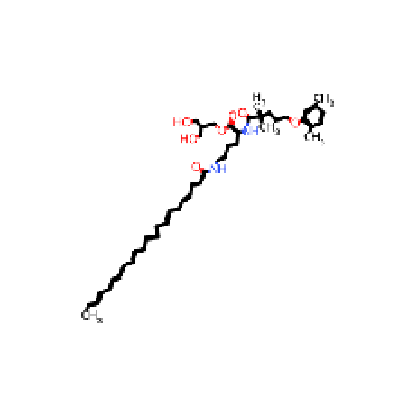 CCC=CCC=CCC=CCC=CCC=CCC=CCCC(=O)NCCCCC(NC(=O)C(C)(C)CCCOc1cc(C)ccc1C)C(=O)OCC(CO)CO